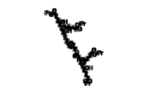 CC(C)OC(=O)CCCCC(O)CN(CCCCC(=O)OCCN1CCN(CCSSCCCN(CC(O)CCCCC(=O)OC(C)C)CC(O)CCCCC(=O)OC(C)C)CC1)CC(O)CCCCC(=O)OC(C)C